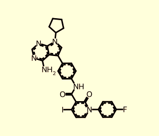 Nc1ncnc2c1c(-c1ccc(NC(=O)c3c(I)ccn(-c4ccc(F)cc4)c3=O)cc1)cn2C1CCCC1